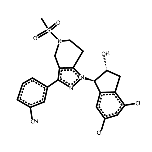 CS(=O)(=O)N1CCc2c(c(-c3cccc(C#N)c3)nn2[C@@H]2c3cc(Cl)cc(Cl)c3C[C@H]2O)C1